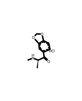 CN[C@H](C)C(=O)c1ccc2c(c1)OCO2.Cl